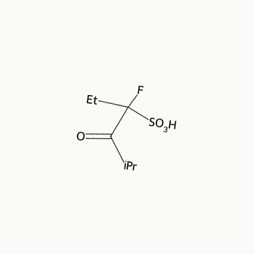 CCC(F)(C(=O)C(C)C)S(=O)(=O)O